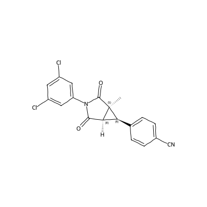 C[C@@]12C(=O)N(c3cc(Cl)cc(Cl)c3)C(=O)[C@@H]1[C@@H]2c1ccc(C#N)cc1